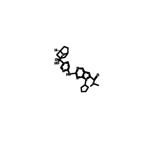 CN(C)C(=O)c1cc2cnc(Nc3ccc(C(=O)N4C5CC[C@@H]4CC(O)C5)cn3)nc2n1C1CCCC1